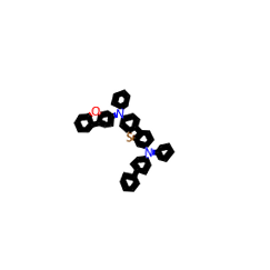 c1ccc(-c2ccc(N(c3ccccc3)c3ccc4c(c3)sc3cc(N(c5ccccc5)c5ccc6c(c5)oc5ccccc56)ccc34)cc2)cc1